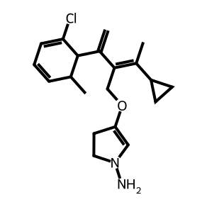 C=C(/C(COC1=CN(N)CC1)=C(\C)C1CC1)C1C(Cl)=CC=CC1C